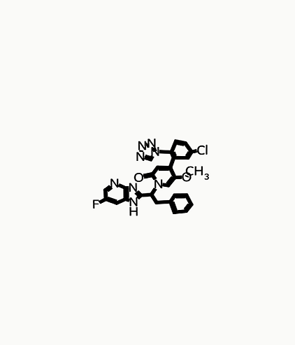 COc1cn(C(Cc2ccccc2)c2nc3ncc(F)cc3[nH]2)c(=O)cc1-c1cc(Cl)ccc1-n1cnnn1